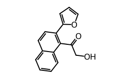 O=C(CO)c1c(-c2ccco2)ccc2ccccc12